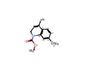 CCCC1=CCN(C(=O)OC(C)(C)C)c2cc(OC)ccc21